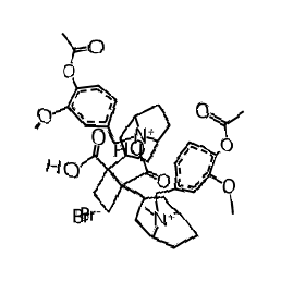 COc1cc(C[N+]2(C)C3CCC2CC(C2(C(=O)O)CCC2(C(=O)O)C2CC4CCC(C2)[N+]4(C)Cc2ccc(OC(C)=O)c(OC)c2)C3)ccc1OC(C)=O.[Br-].[Br-]